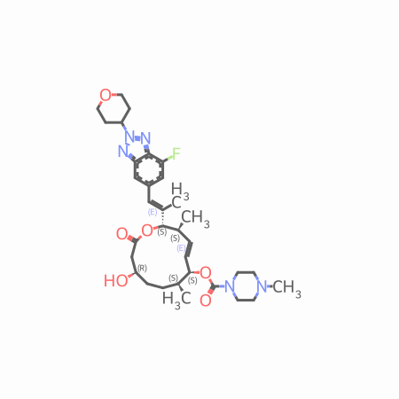 C/C(=C\c1cc(F)c2nn(C3CCOCC3)nc2c1)[C@H]1OC(=O)C[C@H](O)CC[C@H](C)[C@H](OC(=O)N2CCN(C)CC2)/C=C/[C@@H]1C